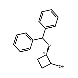 OC1CC[C@H]1OC(c1ccccc1)c1ccccc1